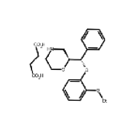 CCOc1ccccc1O[C@@H](c1ccccc1)[C@@H]1CNCCO1.O=C(O)CCC(=O)O